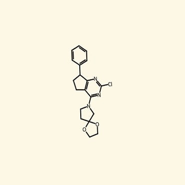 Clc1nc2c(c(N3CCC4(C3)OCCO4)n1)CCC2c1ccccc1